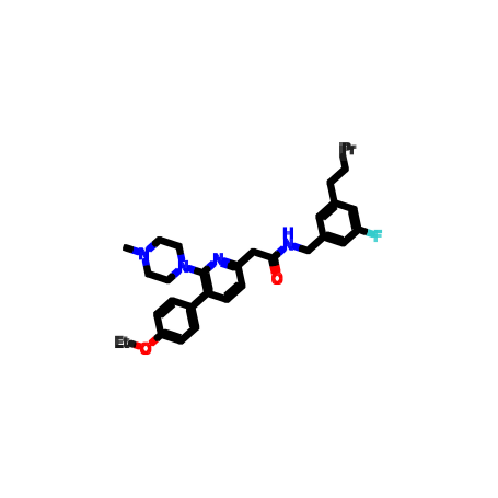 CCOc1ccc(-c2ccc(CC(=O)NCc3cc(F)cc(CCC(C)C)c3)nc2N2CCN(C)CC2)cc1